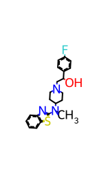 CN(c1nc2ccccc2s1)C1CCN(CC(O)c2ccc(F)cc2)CC1